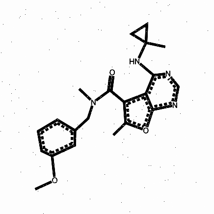 COc1cccc(CN(C)C(=O)c2c(C)oc3ncnc(NC4(C)CC4)c23)c1